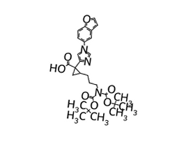 CC(C)(C)OC(=O)N(CCCC1CC1(C(=O)O)c1cn(-c2ccc3occc3c2)cn1)C(=O)OC(C)(C)C